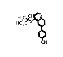 CC(C)(Sc1ccnc2ccc(-c3ccc(C#N)cc3)cc12)C(=O)O